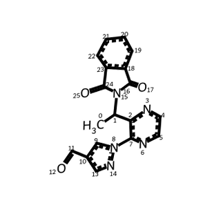 CC(c1nccnc1-n1cc(C=O)cn1)N1C(=O)c2ccccc2C1=O